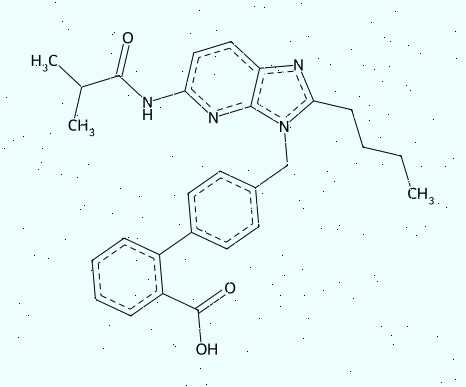 CCCCc1nc2ccc(NC(=O)C(C)C)nc2n1Cc1ccc(-c2ccccc2C(=O)O)cc1